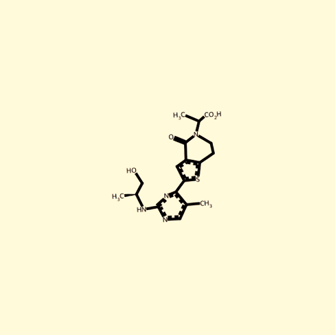 Cc1cnc(N[C@@H](C)CO)nc1-c1cc2c(s1)CCN(C(C)C(=O)O)C2=O